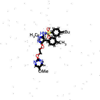 COc1cnc(OCCOc2nn(C)c(NS(=O)(=O)c3ccc(C(C)(C)C)cc3)c2-c2ccc(C)cc2)nc1